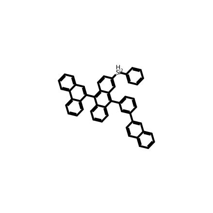 c1ccc([SiH2]c2ccc3c(-c4cc5ccccc5c5ccccc45)c4ccccc4c(-c4cccc(-c5ccc6ccccc6c5)c4)c3c2)cc1